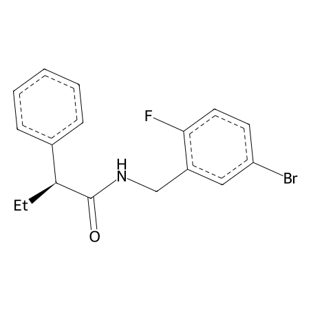 CC[C@H](C(=O)NCc1cc(Br)ccc1F)c1ccccc1